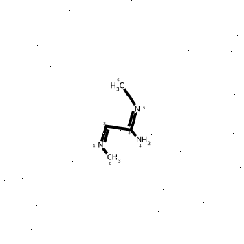 C/N=C\C(N)=N/C